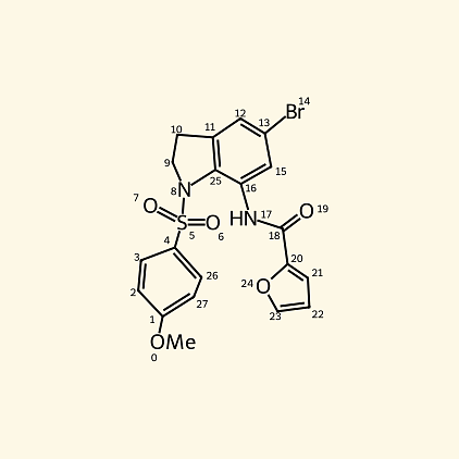 COc1ccc(S(=O)(=O)N2CCc3cc(Br)cc(NC(=O)c4ccco4)c32)cc1